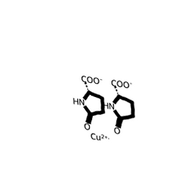 O=C1CC[C@@H](C(=O)[O-])N1.O=C1CC[C@@H](C(=O)[O-])N1.[Cu+2]